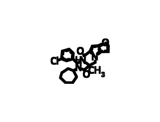 CC1(C(=O)NC2CCCCCC2)Cn2c(cc3occc32)C(=O)N1Cc1cccc(Cl)c1